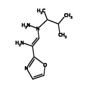 CC(C)C(C)N(N)/C=C(\N)c1ncco1